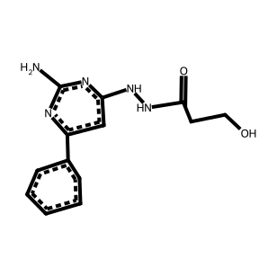 Nc1nc(NNC(=O)CCO)cc(-c2ccccc2)n1